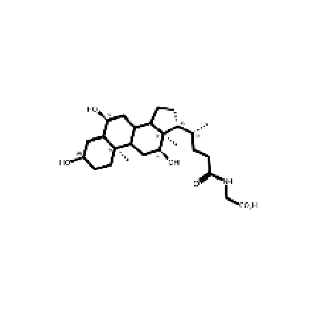 C[C@H](CCC(=O)NCC(=O)O)[C@H]1CCC2C3C[C@H](O)C4C[C@H](O)CC[C@]4(C)C3C[C@H](O)[C@@]21C